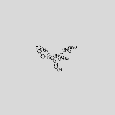 Cc1c(COc2cc(OCc3ccc(C#N)cn3)c(CN[C@@H](CCCCNC(=O)OC(C)(C)C)C(=O)OC(C)(C)C)cc2Cl)cccc1-c1ccc2c(c1)OCCO2